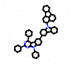 c1ccc(-c2nc(-c3ccccc3)c3c4cc(-c5ccc6c(c5)c5ccccc5n6-c5ccc6c7c(cccc57)-c5ccccc5-6)ccc4n(-c4ccccc4)c3n2)cc1